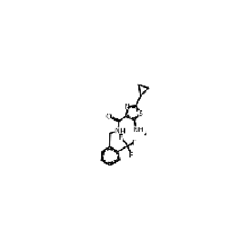 Nc1sc(C2CC2)nc1C(=O)NCc1ccccc1C(F)(F)F